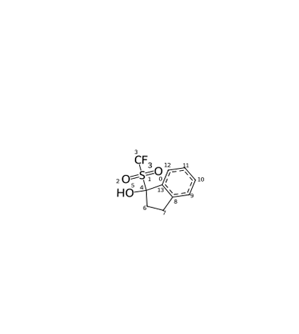 O=S(=O)(C(F)(F)F)C1(O)CCc2ccccc21